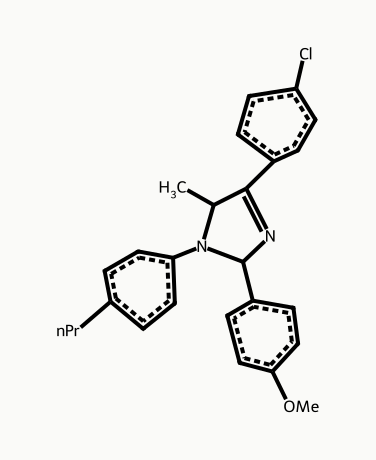 CCCc1ccc(N2C(C)C(c3ccc(Cl)cc3)=NC2c2ccc(OC)cc2)cc1